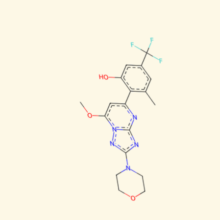 COc1cc(-c2c(C)cc(C(F)(F)F)cc2O)nc2nc(N3CCOCC3)nn12